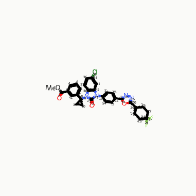 COC(=O)c1cccc(C2(n3c(=O)n(-c4ccc(-c5nnc(C6CCC(F)(F)CC6)o5)cc4)c4cc(Cl)ccc43)CC2)c1